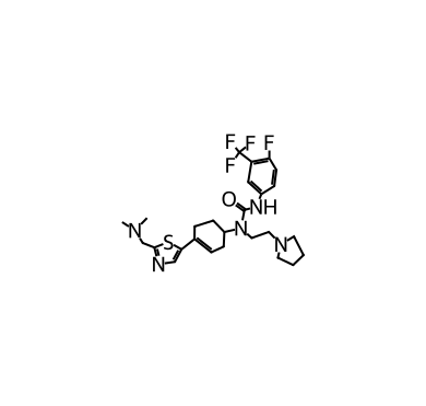 CN(C)Cc1ncc(C2=CCC(N(CCN3CCCC3)C(=O)Nc3ccc(F)c(C(F)(F)F)c3)CC2)s1